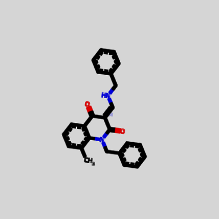 Cc1cccc2c1N(Cc1ccccc1)C(=O)/C(=C/NCc1ccccc1)C2=O